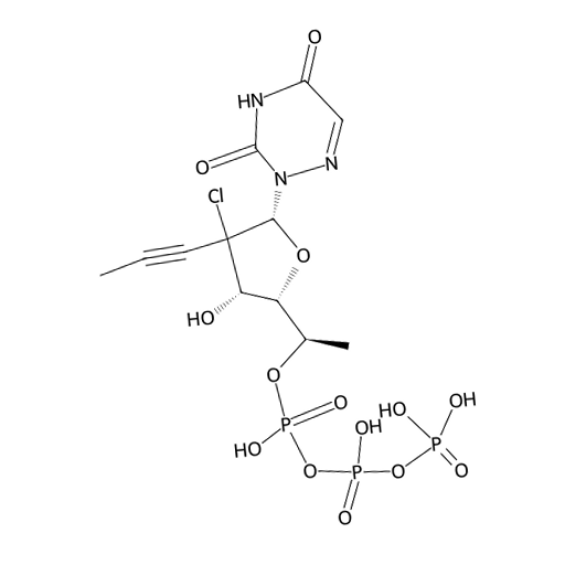 CC#CC1(Cl)[C@@H](O)[C@@H]([C@@H](C)OP(=O)(O)OP(=O)(O)OP(=O)(O)O)O[C@H]1n1ncc(=O)[nH]c1=O